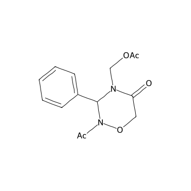 CC(=O)OCN1C(=O)CON(C(C)=O)C1c1ccccc1